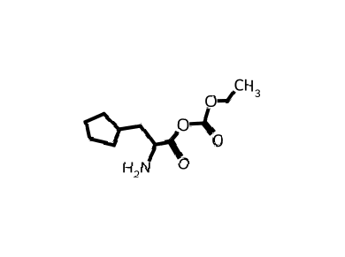 CCOC(=O)OC(=O)C(N)CC1CCCC1